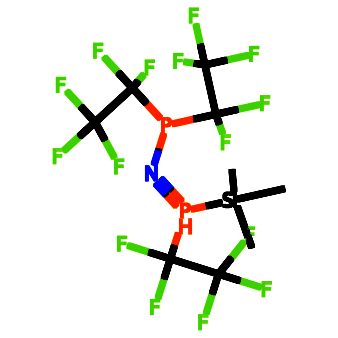 C[Si](C)(C)/[PH](=N\P(C(F)(F)C(F)(F)F)C(F)(F)C(F)(F)F)C(F)(F)C(F)(F)F